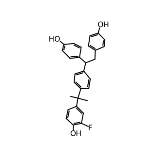 CC(C)(c1ccc(C(Cc2ccc(O)cc2)c2ccc(O)cc2)cc1)c1ccc(O)c(F)c1